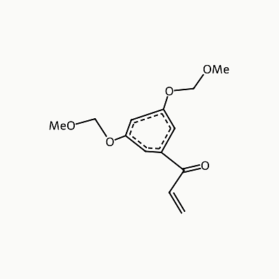 C=CC(=O)c1cc(OCOC)cc(OCOC)c1